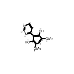 COc1cc(OC)c(O)c(-c2ccnnn2)c1O